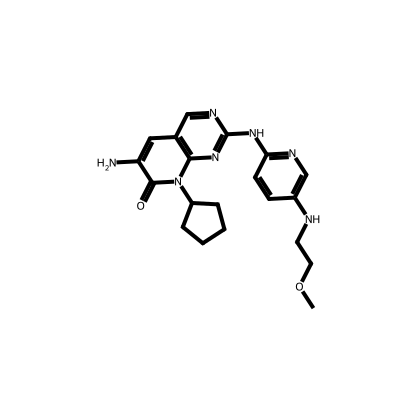 COCCNc1ccc(Nc2ncc3cc(N)c(=O)n(C4CCCC4)c3n2)nc1